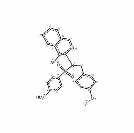 CC(=O)c1c(N(Cc2ccc(OC(F)(F)F)cc2)S(=O)(=O)c2ccc(C(=O)O)cc2)ncc2ccccc12